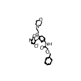 Cn1ncc(Cl)c1-c1cc(NC(=O)COCc2ccccc2)ccc1OCCN1CCOCC1